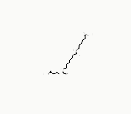 NC(=O)CCC[C@@H]([C]=O)NCCCCCCC(=O)NCCCCCC(=O)O